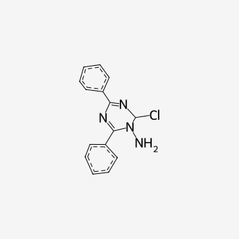 NN1C(c2ccccc2)=NC(c2ccccc2)=NC1Cl